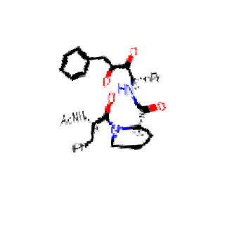 CCC[C@H](NC(=O)[C@@H]1CCCN1C(=O)[C@H](CC(C)C)NC(C)=O)C(=O)C(=O)Cc1ccccc1